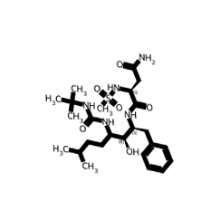 CC(C)CCC(NC(=O)NC(C)(C)C)[C@H](O)[C@H](Cc1ccccc1)NC(=O)[C@H](CC(N)=O)NS(C)(=O)=O